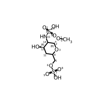 CO[C@@H]1OC(COS(=O)(=O)O)C[C@@H](O)C1NS(=O)(=O)O